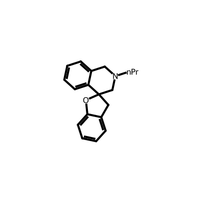 CCCN1Cc2ccccc2C2(Cc3ccccc3O2)C1